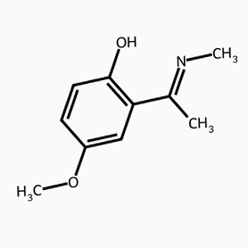 CN=C(C)c1cc(OC)ccc1O